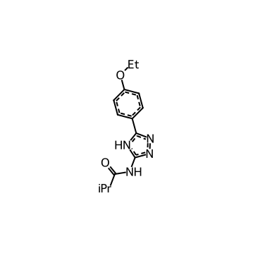 CCOc1ccc(-c2nnc(NC(=O)C(C)C)[nH]2)cc1